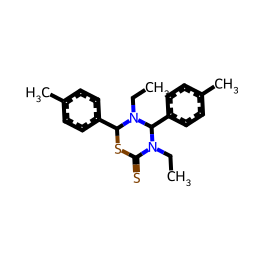 CCN1C(=S)SC(c2ccc(C)cc2)N(CC)C1c1ccc(C)cc1